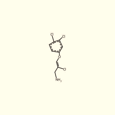 NCC(Cl)=COc1ccc(Cl)c(Cl)c1